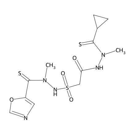 CN(NS(=O)(=O)CC(=O)NN(C)C(=S)C1CC1)C(=S)c1cnco1